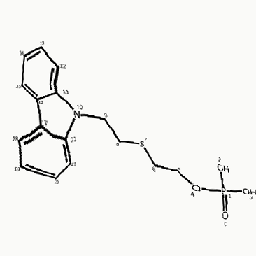 O=P(O)(O)OCCSCCn1c2ccccc2c2ccccc21